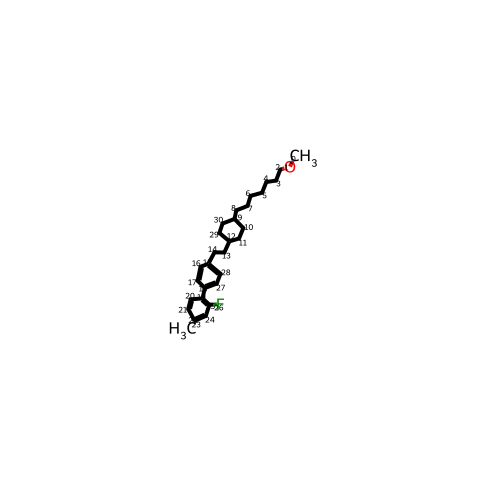 COCCCCCCCC1CCC(CCc2ccc(-c3ccc(C)cc3F)cc2)CC1